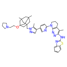 Cc1c(Nc2nc3ccccc3s2)nnc2c1CCCN2c1ccc(-c2cnn(CC34CC5(C)CC(C)(C3)CC(OCCN3CCCC3)(C5)C4)c2C)cn1